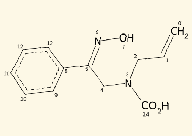 C=CCN(CC(=NO)c1ccccc1)C(=O)O